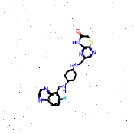 O=C1CSc2ncc(CNC3CCC(NCc4c(F)ccc5nccnc45)CC3)nc2N1